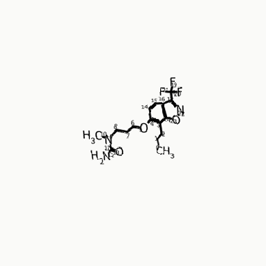 CCCc1c(OCCCN(C)C(N)=O)ccc2c(C(F)(F)F)noc12